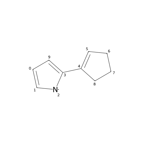 C1=C[N]C(C2=CCCC2)=C1